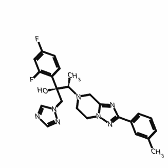 Cc1cccc(-c2nc3n(n2)CCN([C@H](C)[C@](O)(Cn2cncn2)c2ccc(F)cc2F)C3)c1